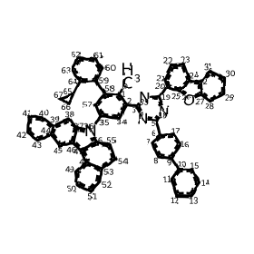 Cc1c(-c2nc(-c3ccc(-c4ccccc4)cc3)nc(-c3cccc4c3oc3ccccc34)n2)cc(-n2c3cc4ccccc4cc3c3c4ccccc4ccc32)cc1-c1ccccc1C1CC1